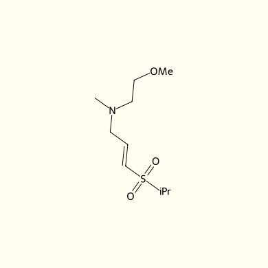 COCCN(C)C/C=C/S(=O)(=O)C(C)C